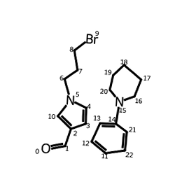 O=Cc1ccn(CCCBr)c1.c1ccc(N2CCCCC2)cc1